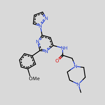 COc1cccc(-c2nc(NC(=O)CN3CCN(C)CC3)cc(-n3cccn3)n2)c1